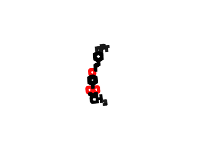 CCCC1CCC(/C=C/COc2ccc(C3OCC(C)CO3)cc2)CC1